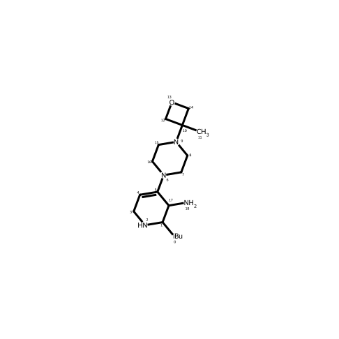 CCC(C)C1NCC=C(N2CCN(C3(C)COC3)CC2)C1N